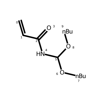 C=CC(=O)NC(OCCCC)OCCCC